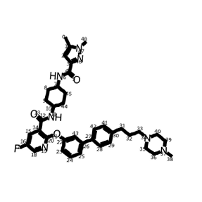 Cc1cc(C(=O)NC2CCC(NC(=O)c3cc(F)cnc3Oc3cccc(-c4ccc(CCCN5CCN(C)CC5)cc4)c3)CC2)nn1C